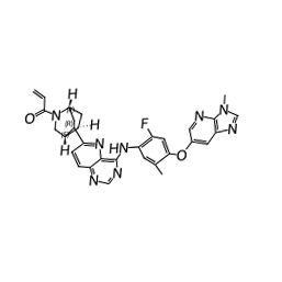 C=CC(=O)N1C[C@H]2CC[C@@H]1C[C@H]2c1ccc2ncnc(Nc3cc(C)c(Oc4cnc5c(c4)ncn5C)cc3F)c2n1